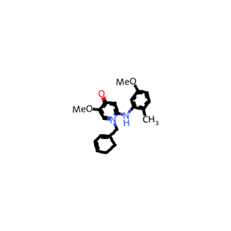 COc1ccc(C)c(Nc2cc(=O)c(OC)cn2CC2=CC=CCC2)c1